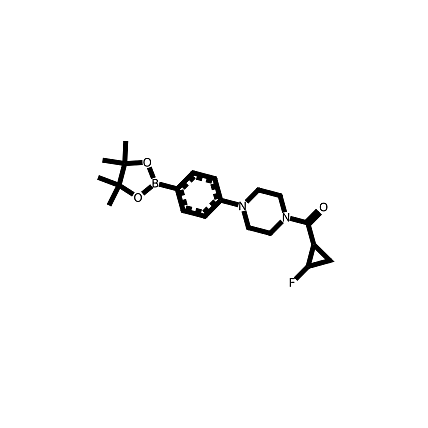 CC1(C)OB(c2ccc(N3CCN(C(=O)C4CC4F)CC3)cc2)OC1(C)C